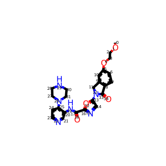 COCCOc1ccc2c(c1)CN(c1cnc(C(=O)Nc3cnccc3N3CCNCC3)o1)C2=O